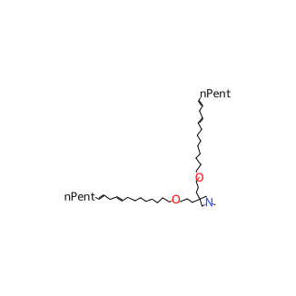 CCCCCC=CCC=CCCCCCCCCOCCCC1(CCCOCCCCCCCCC=CCC=CCCCCC)CN(C)C1